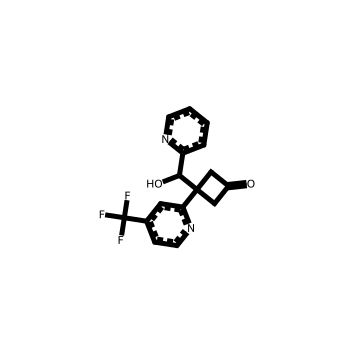 O=C1CC(c2cc(C(F)(F)F)ccn2)(C(O)c2ccccn2)C1